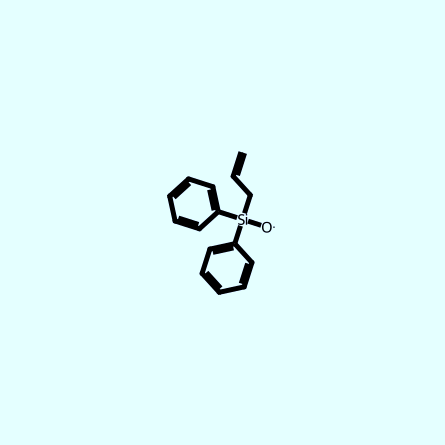 C=CC[Si]([O])(c1ccccc1)c1ccccc1